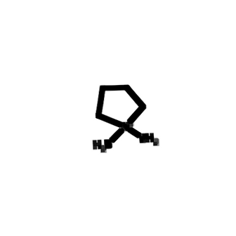 B[N+]1(B)CCCC1